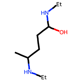 CCNC(C)CCC(O)NCC